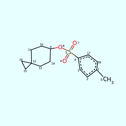 Cc1ccc(S(=O)(=O)OC2CCC3(CC2)CC3)cc1